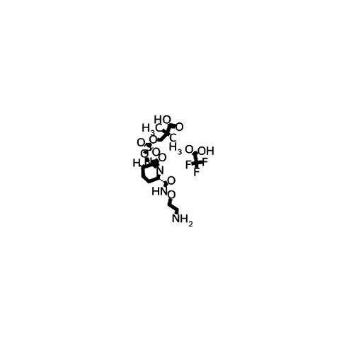 CC(C)(COS(=O)(=O)ON1C(=O)N2C[C@H]1CC[C@H]2C(=O)NOCCN)C(=O)O.O=C(O)C(F)(F)F